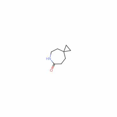 O=C1CCC2(CCN1)CC2